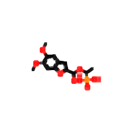 COc1cc2cc(C(=O)OC(C)P(=O)(O)O)oc2cc1OC